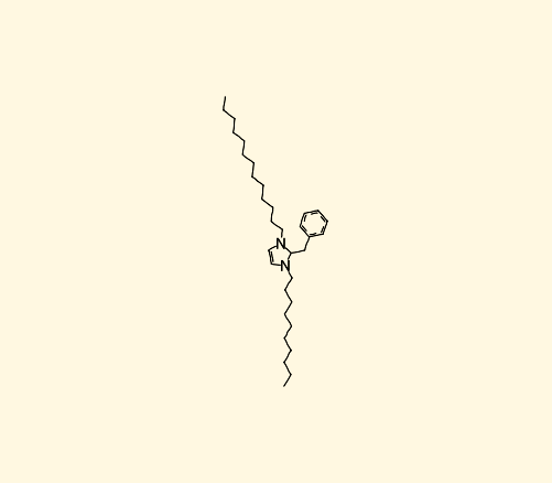 CCCCCCCCCCCCCN1C=CN(CCCCCCCCCC)C1Cc1ccccc1